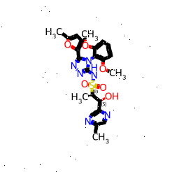 COc1cccc(OC)c1-n1c(NS(=O)(=O)[C@H](C)[C@@H](O)c2cnc(C)cn2)nnc1-c1ccc(C)o1